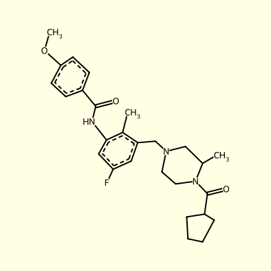 COc1ccc(C(=O)Nc2cc(F)cc(CN3CCN(C(=O)C4CCCC4)C(C)C3)c2C)cc1